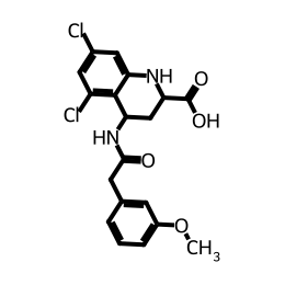 COc1cccc(CC(=O)NC2CC(C(=O)O)Nc3cc(Cl)cc(Cl)c32)c1